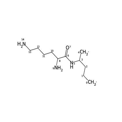 [CH2]CCC([CH2])NC(=O)C(N)CCCCN